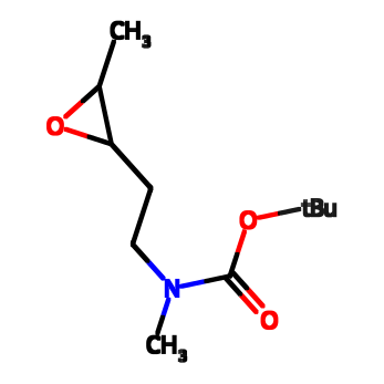 CC1OC1CCN(C)C(=O)OC(C)(C)C